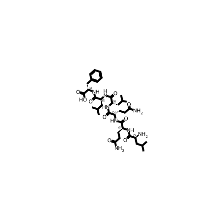 CC(C)C[C@H](NC(=O)[C@H](CC(C)C)NC(=O)[C@H](CCC(N)=O)NC(=O)[C@H](CCC(N)=O)NC(=O)[C@@H](N)CC(C)C)C(=O)N[C@@H](Cc1ccccc1)C(=O)O